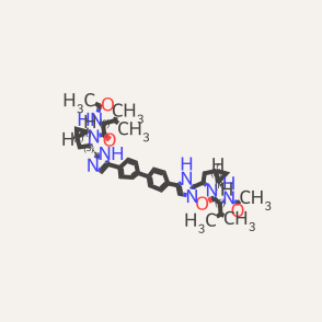 CC(=O)N[C@H](C(=O)N1C(c2ncc(-c3ccc(-c4ccc(-c5cnc([C@@H]6C[C@H]7C[C@H]7N6C(=O)[C@@H](NC(C)=O)C(C)C)[nH]5)cc4)cc3)[nH]2)C[C@H]2C[C@H]21)C(C)C